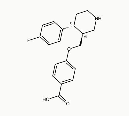 O=C(O)c1ccc(OC[C@@H]2CNCC[C@H]2c2ccc(F)cc2)cc1